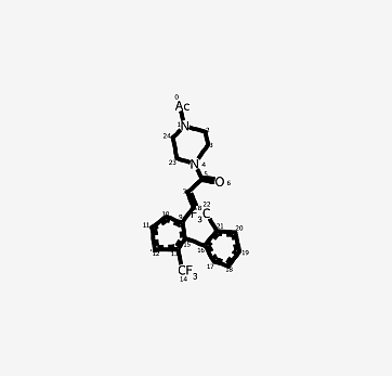 CC(=O)N1CCN(C(=O)/C=C/c2cc[c]c(C(F)(F)F)c2-c2ccccc2C(F)(F)F)CC1